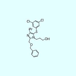 CC(C)c1nc(COCc2ccccc2)n(CCCO)c1Sc1cc(Cl)cc(Cl)c1